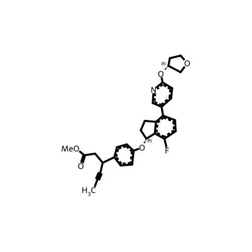 CC#CC(CC(=O)OC)c1ccc(O[C@@H]2CCc3c(-c4ccc(O[C@@H]5CCOC5)nc4)ccc(F)c32)cc1